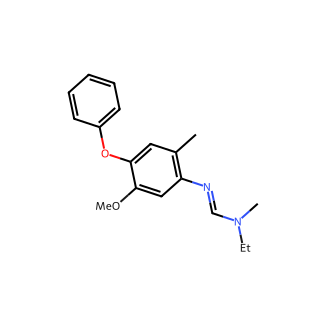 CCN(C)C=Nc1cc(OC)c(Oc2ccccc2)cc1C